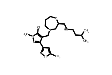 Cc1cc(-c2nn(C)c(Cl)c2CN2CCCOC(CNCCC(C)C)C2)no1